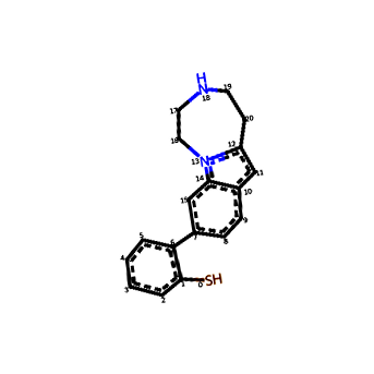 Sc1ccccc1-c1ccc2cc3n(c2c1)CCNCC3